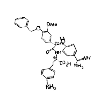 COc1cc([C@@H](Nc2ccc(C(=N)N)cc2)C(=O)N[C@@H](Cc2ccc(N)cc2)C(=O)O)ccc1OCc1ccccc1